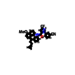 COc1ccc(C(CCC2CC2)c2cccc(NC(=O)c3cc(C(F)(F)F)nn3-c3cccc(C#N)c3)c2)c2ccccc12